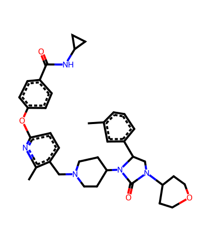 Cc1cccc(C2CN(C3CCOCC3)C(=O)N2C2CCN(Cc3ccc(Oc4ccc(C(=O)NC5CC5)cc4)nc3C)CC2)c1